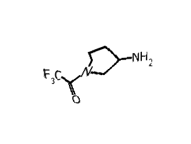 NC1CCN(C(=O)C(F)(F)F)C1